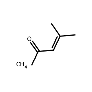 C.CC(=O)C=C(C)C